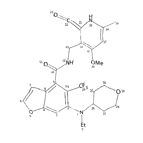 CCN(c1cc2occc2c(C(=O)NCC2=C(OC)C=C(C)NC2=C=O)c1C(F)(F)F)C1CCOCC1